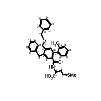 CSCCC(NC(=O)c1cc(Cc2ccccc2)c(COCc2ccccc2)cc1-c1ccccc1C)C(=O)O